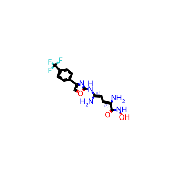 N/C(=C\C=C(/N)Nc1nc(-c2ccc(C(F)(F)F)cc2)co1)C(=O)NO